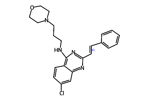 Clc1ccc2c(NCCCN3CCOCC3)nc(/C=C/c3ccccc3)nc2c1